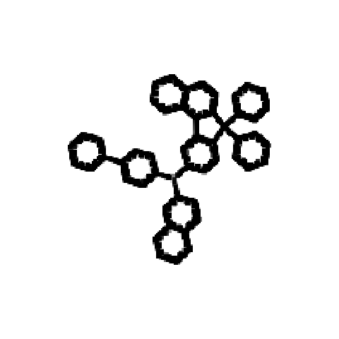 c1ccc(-c2ccc(N(c3ccc4c(c3)-c3c(ccc5ccccc35)C4(c3ccccc3)c3ccccc3)c3ccc4ccccc4c3)cc2)cc1